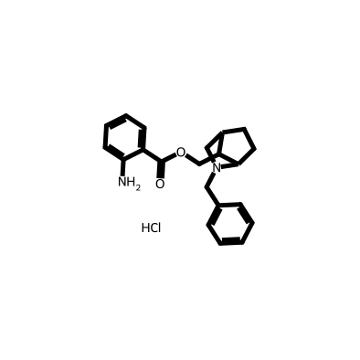 Cl.Nc1ccccc1C(=O)OCC1C2CCC1N(Cc1ccccc1)C2